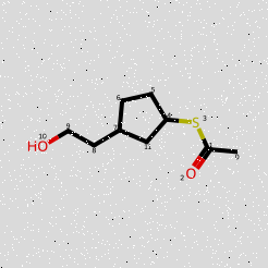 CC(=O)SC1CCC(CCO)C1